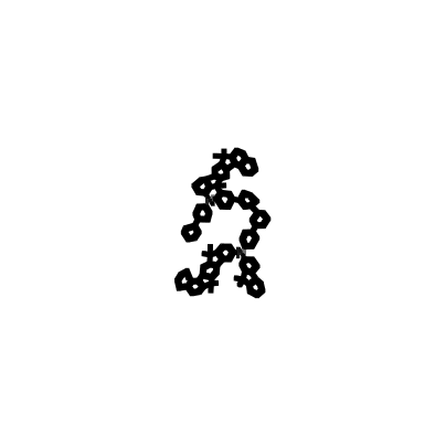 CC1(C)c2ccccc2-c2ccc(N(c3ccc(-c4cccc(-c5cccc(-c6ccc7c(c6)C6(C)c8cc9c(cc8-c8cccc(c86)N7c6ccc(-c7ccccc7)cc6)C(C)(C)c6ccc7ccccc7c6-9)c5)c4)cc3)c3ccc4c(c3)-c3cc5c(cc3C4(C)C)-c3c(ccc4ccccc34)C5(C)C)cc21